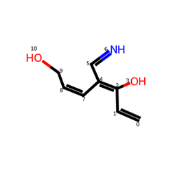 C=C/C(O)=C(C=N)\C=C/CO